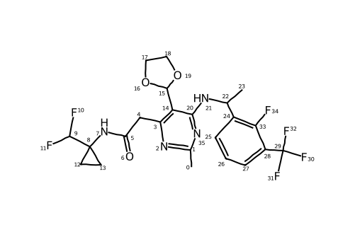 Cc1nc(CC(=O)NC2(C(F)F)CC2)c(C2OCCO2)c(NC(C)c2cccc(C(F)(F)F)c2F)n1